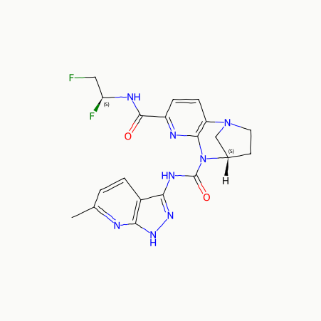 Cc1ccc2c(NC(=O)N3c4nc(C(=O)N[C@@H](F)CF)ccc4N4CC[C@H]3C4)n[nH]c2n1